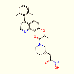 Cc1cccc(C)c1-c1ccnc2cc(OC(C)C(=O)N3CCC[C@H](CC(=O)NO)C3)ccc12